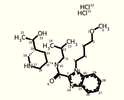 COCCCCn1c(C(=O)N(CC(C)C)[C@@H]2CNC[C@H]([C@@H](C)O)C2)nc2ccccc21.Cl.Cl